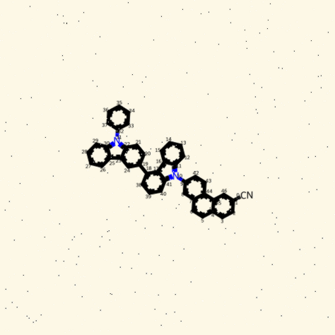 N#Cc1ccc2ccc3cc(-n4c5ccccc5c5c(-c6ccc7c(c6)c6ccccc6n7-c6ccccc6)cccc54)ccc3c2c1